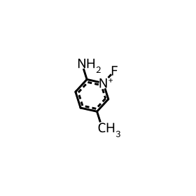 Cc1ccc(N)[n+](F)c1